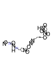 O=C(/C=C/c1cccnc1)NC/C=C/CC1CCN(C(=O)c2ccc(N3CCN(CCCC#Cc4cccc5c4CN(C4CCC(=O)NC4=O)C5=O)CC3)cc2)CC1